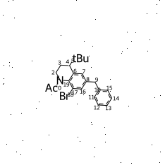 CC(=O)N1CCC(C(C)(C)C)c2cc(Cc3ccccc3)cc(Br)c21